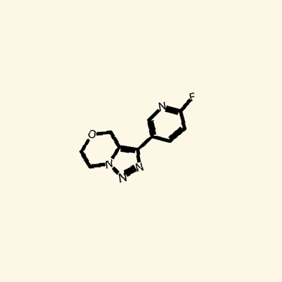 Fc1ccc(-c2nnn3c2COCC3)cn1